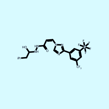 CC(C)CC(O)NNC(=O)/C=C\n1cnc(-c2cc(C(F)(F)F)cc(S(F)(F)(F)(F)F)c2)n1